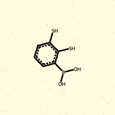 OB(O)c1cccc(S)c1S